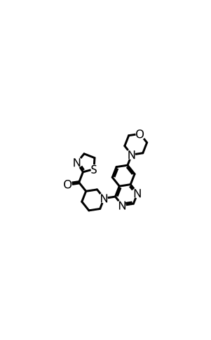 O=C(C1=NCCS1)C1CCCN(c2ncnc3cc(N4CCOCC4)ccc23)C1